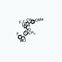 COc1ccc(-c2nc3c(C(=O)N4CCN(C(CO)c5cc(F)ccc5F)C[C@H]4C)cnn3c(C(F)(F)F)c2C)cc1